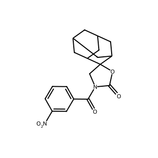 O=C1OC2(CN1C(=O)c1cccc([N+](=O)[O-])c1)C1CC3CC(C1)CC2C3